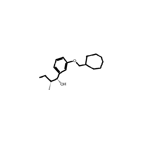 CC[C@@H](C)[C@@H](O)c1cccc(OCC2CCCCCC2)c1